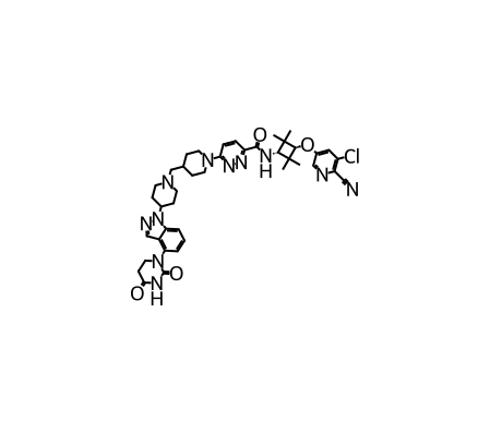 CC1(C)[C@H](NC(=O)c2ccc(N3CCC(CN4CCC(n5ncc6c(N7CCC(=O)NC7=O)cccc65)CC4)CC3)nn2)C(C)(C)[C@H]1Oc1cnc(C#N)c(Cl)c1